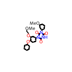 COCCOc1cc(-n2c(=O)[nH]c(=O)n(-c3cccc(OC)c3)c2=O)ccc1Oc1ccccc1